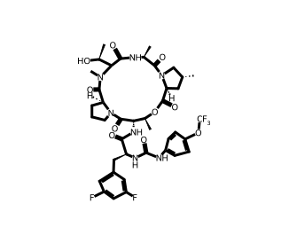 C[C@@H]1C[C@H]2C(=O)O[C@@H](C)[C@H](NC(=O)[C@H](Cc3cc(F)cc(F)c3)NC(=O)Nc3ccc(OC(F)(F)F)cc3)C(=O)N3CCC[C@H]3C(=O)N(C)C([C@H](C)O)C(=O)N[C@@H](C)C(=O)N2C1